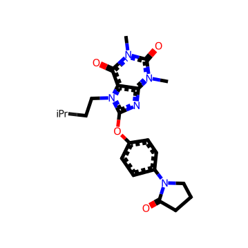 CC(C)CCn1c(Oc2ccc(N3CCCC3=O)cc2)nc2c1c(=O)n(C)c(=O)n2C